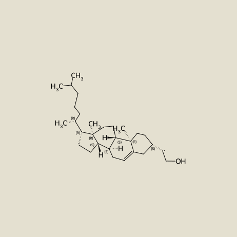 CC(C)CCC[C@@H](C)[C@H]1CC[C@H]2[C@@H]3CC=C4C[C@@H]([CH]CO)CC[C@]4(C)[C@H]3CC[C@]12C